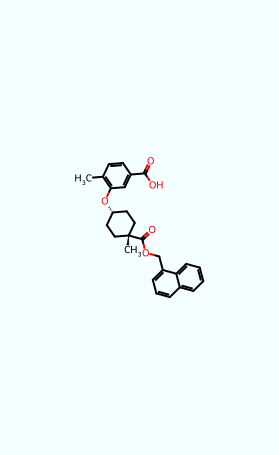 Cc1ccc(C(=O)O)cc1O[C@H]1CC[C@@](C)(C(=O)OCc2cccc3ccccc23)CC1